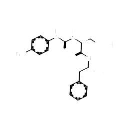 N#Cc1ccc(NC(=O)N[C@@H](CC(=O)O)C(=O)N[C@@H](Cc2ccccc2)C(=O)O)cc1